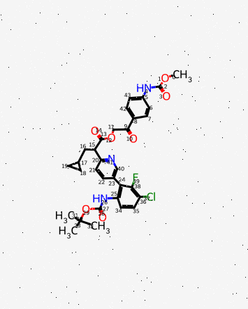 COC(=O)Nc1ccc(C(=O)COC(=O)C(CC2CC2)c2ccc(-c3c(NC(=O)OC(C)(C)C)ccc(Cl)c3F)cn2)cc1